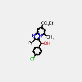 CCOC(=O)c1cc(C)n2c(C(O)c3ccc(Cl)cc3)c(C(C)C)nc2c1